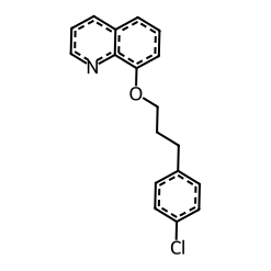 Clc1ccc(CCCOc2cccc3cccnc23)cc1